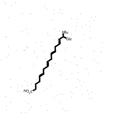 CCCCC(O)C=CCC=CCC=CCC=CCCCC(=O)O